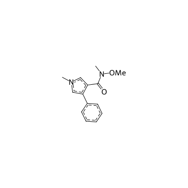 CON(C)C(=O)c1cn(C)cc1-c1ccccc1